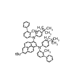 Cc1c(-c2ccccc2)cccc1N(c1ccc([Si](C)(C)C)cc1)c1cc(N(c2ccc([Si](C)(C)C)cc2)c2cccc(-c3ccccc3)c2C)c2ccc3cc(C(C)(C)C)cc4ccc1c2c43